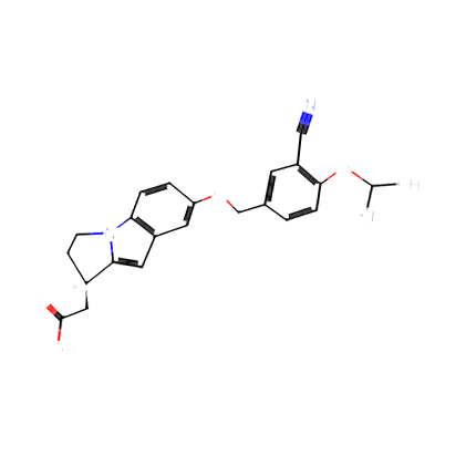 CC(C)Oc1ccc(COc2ccc3c(c2)cc2n3CC[C@@H]2CC(=O)O)cc1C#N